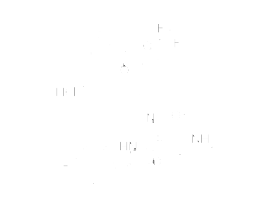 CC(N)c1oc(-c2ccc(OC(F)F)c(OCC3CC3)c2)nc1C(=O)NCc1ccc(F)cc1.Cl